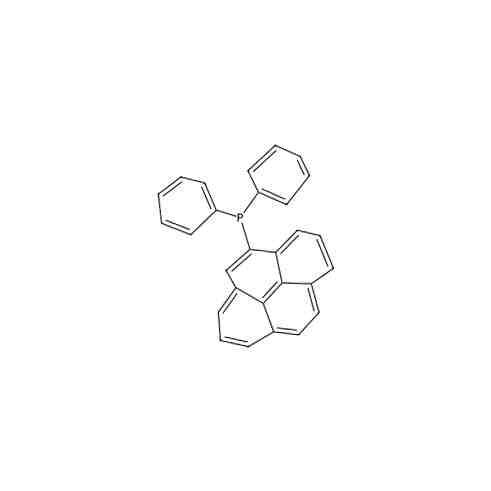 c1ccc(P(c2ccccc2)c2cc3cccc4ccc5cccc2c5c43)cc1